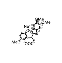 COc1ccc(Oc2c(CCC(=O)[O-])sc3cc(OC)c(OC)cc23)cc1.[Na+]